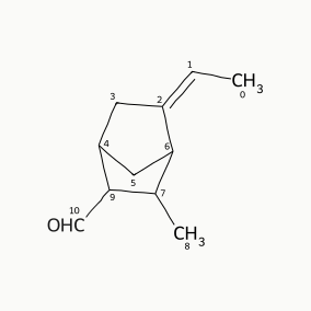 CC=C1CC2CC1C(C)C2C=O